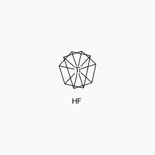 F.[CH]12[CH]3[CH]4[CH]5[CH]1[Ti]23451678[CH]2[CH]1[CH]6[CH]7[CH]28